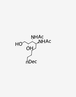 CCCCCCCCCCCCCC[C@H](NC(C)=O)[C@@H](NC(C)=O)[C@H](O)CO